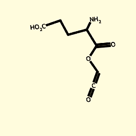 NC(CCC(=O)O)C(=O)OC=C=O